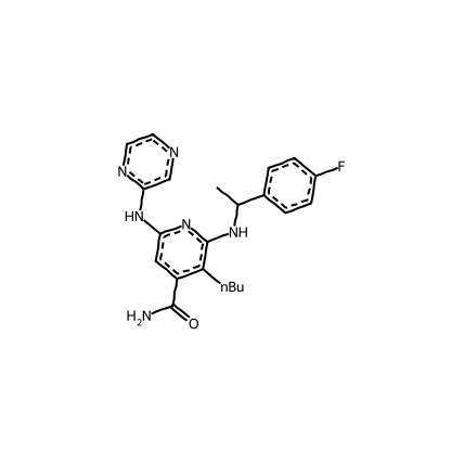 CCCCc1c(C(N)=O)cc(Nc2cnccn2)nc1NC(C)c1ccc(F)cc1